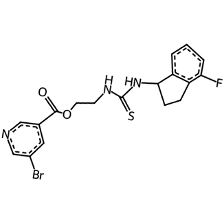 O=C(OCCNC(=S)NC1CCc2c(F)cccc21)c1cncc(Br)c1